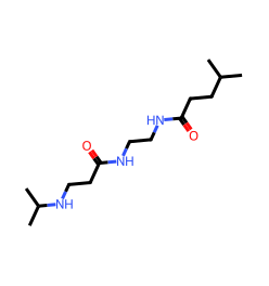 CC(C)CCC(=O)NCCNC(=O)CCNC(C)C